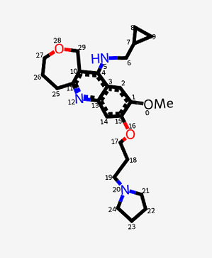 COc1cc2c(NCC3CC3)c3c(nc2cc1OCCCN1CCCC1)CCCOC3